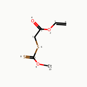 C=COC(=O)CSC(=S)OCC